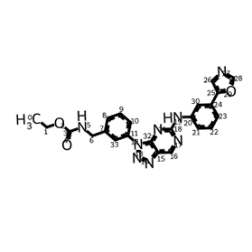 CCOC(=O)NCc1cccc(-n2nnc3cnc(Nc4cccc(-c5cnco5)c4)nc32)c1